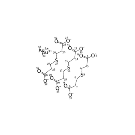 O=C([O-])CCSCCC(=O)[O-].O=C([O-])CCSCCC(=O)[O-].O=C([O-])CCSCCC(=O)[O-].[Au+3].[Au+3]